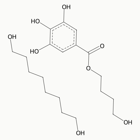 O=C(OCCCCO)c1cc(O)c(O)c(O)c1.OCCCCCCCCO